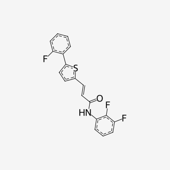 O=C(/C=C/c1ccc(-c2ccccc2F)s1)Nc1cccc(F)c1F